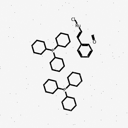 C1CCC(P(C2CCCCC2)C2CCCCC2)CC1.C1CCC(P(C2CCCCC2)C2CCCCC2)CC1.[C]=O.[Cl][Ru][CH]=Cc1ccccc1